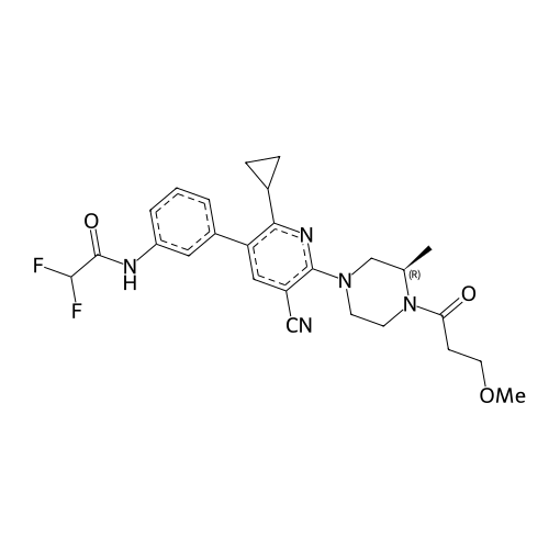 COCCC(=O)N1CCN(c2nc(C3CC3)c(-c3cccc(NC(=O)C(F)F)c3)cc2C#N)C[C@H]1C